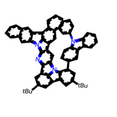 CC(C)(C)c1cc(-c2ccc3c(c2)c2ccccc2n3-c2ccccc2)c2c(c1)c1cc(C(C)(C)C)cc3c4nc5c(cc4n2c13)c1cc2ccccc2c2c3cc4ccccc4cc3n5c12